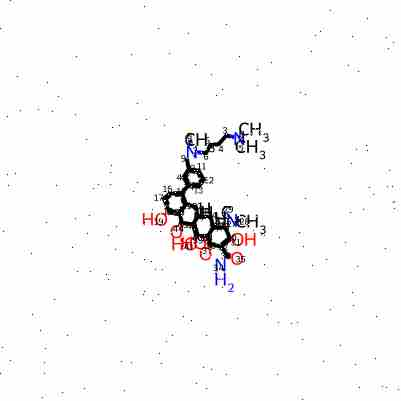 CN(C)CCCCN(C)Cc1cccc(-c2ccc(O)c3c2C[C@H]2C[C@H]4[C@H](N(C)C)C(O)=C(C(N)=O)C(=O)[C@@]4(O)C(O)=C2C3=O)c1